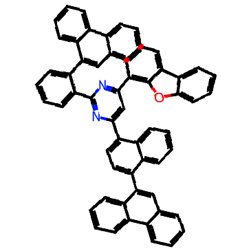 c1ccc(-c2cc3ccccc3c3ccccc23)c(-c2nc(-c3ccc(-c4cc5ccccc5c5ccccc45)c4ccccc34)cc(-c3cccc4c3oc3ccccc34)n2)c1